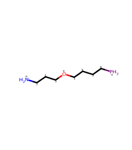 NCCCOCCCCP